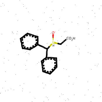 O=C(O)C[S@+]([O-])C(c1ccccc1)c1ccccc1